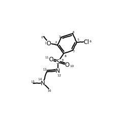 COc1ccc(Cl)cc1S(=O)(=O)/N=C/N(C)C